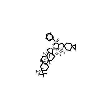 C[C@H](C(CC1(O)CCC2(CC1)CC2)S(=O)(=O)c1ccccc1)[C@H]1CC[C@H]2[C@@H]3CC=C4C[C@](O)(C(F)(F)F)CC[C@]4(C)[C@H]3CC[C@]12C